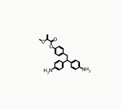 C=C(OC)C(=O)Oc1ccc(CC(c2ccc(N)cc2)c2ccc(N)cc2)cc1